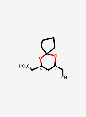 N#CC[C@H]1C[C@@H](CC(=O)O)OC2(CCCC2)O1